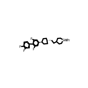 CCC[SiH]1CCC(CC[C@H]2CC[C@H](c3cc(F)c(-c4ccc(F)c(F)c4)c(F)c3)CC2)CC1